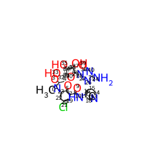 CN1C(=O)COc2c(C(=O)NC3CN4CCC3CC4)cc(Cl)cc21.Nc1ncn([C@@H]2O[C@H](CO)[C@@H](O)[C@H]2O)c(=O)n1